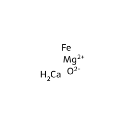 [CaH2].[Fe].[Mg+2].[O-2]